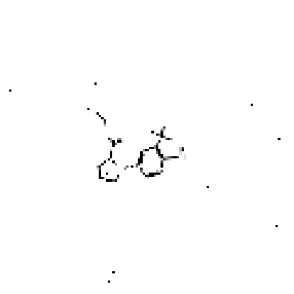 CCOC(=O)C1CCCN1c1ccc([N+](=O)[O-])c(C(F)(F)F)c1